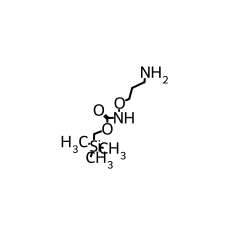 C[Si](C)(C)COC(=O)NOCCCN